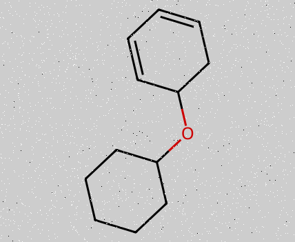 C1=CCC(OC2CCCCC2)C=C1